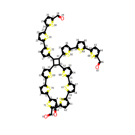 O=Cc1ccc(-c2ccc(-c3ccc(C4C(c5ccc(-c6ccc(-c7ccc(C=O)s7)s6)s5)C(c5ccc(-c6ccc(-c7ccc(C=O)s7)s6)s5)C4c4ccc(-c5ccc(-c6ccc(C=O)s6)s5)s4)s3)s2)s1